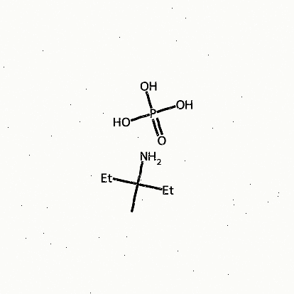 CCC(C)(N)CC.O=P(O)(O)O